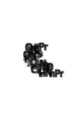 CCCNC(=O)C12CCCC1C(c1cc(N3C(=O)C(=O)N(CCC)C3=S)c(F)cc1Cl)=NO2